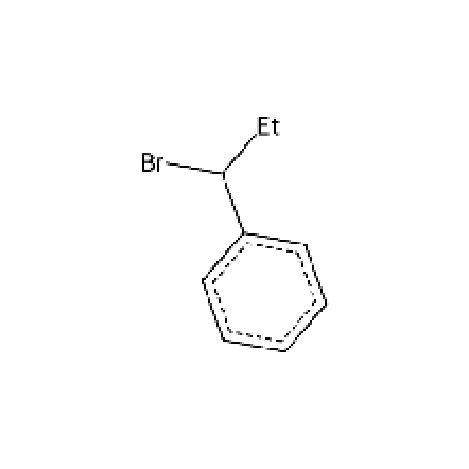 CCC(Br)c1ccccc1